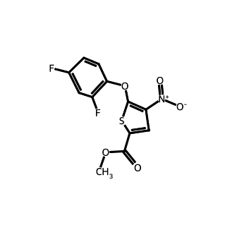 COC(=O)c1cc([N+](=O)[O-])c(Oc2ccc(F)cc2F)s1